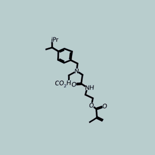 C=C(C)C(=O)OCCNC(=O)CN(CC(=O)O)Cc1ccc(C(C)C(C)C)cc1